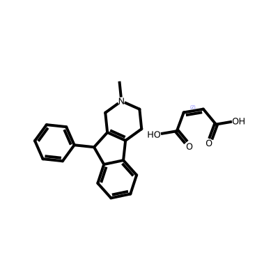 CN1CCC2=C(C1)C(c1ccccc1)c1ccccc12.O=C(O)/C=C\C(=O)O